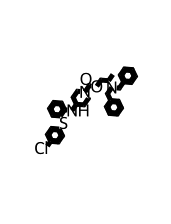 CC(COC(=O)N1CCC(Nc2ccccc2Sc2ccc(Cl)cc2)CC1)N(Cc1ccccc1)Cc1ccccc1